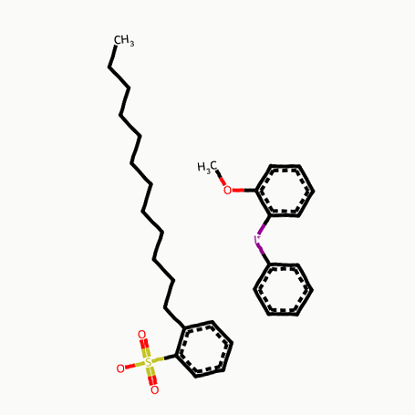 CCCCCCCCCCCCc1ccccc1S(=O)(=O)[O-].COc1ccccc1[I+]c1ccccc1